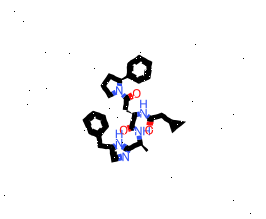 C[C@H](NC(=O)[C@H](CC(=O)N1CCC[C@H]1c1ccccc1)NC(=O)CC1CC1)c1ncc(Cc2ccccc2)[nH]1